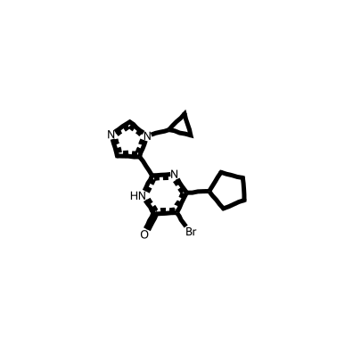 O=c1[nH]c(-c2cncn2C2CC2)nc(C2CCCC2)c1Br